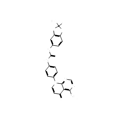 CC1(C)Oc2ccc(NC(=O)Nc3ccc(-n4ccc(=O)c5c(N)ncnc54)cc3)cc2O1